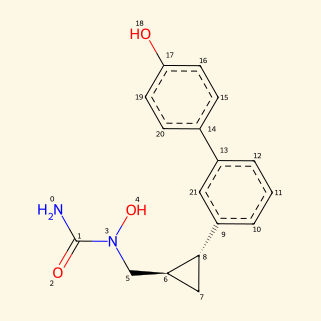 NC(=O)N(O)C[C@@H]1C[C@H]1c1cccc(-c2ccc(O)cc2)c1